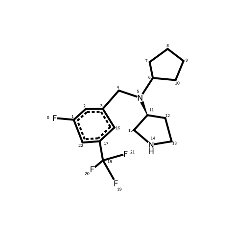 Fc1cc(CN(C2CCCC2)[C@H]2CCNC2)cc(C(F)(F)F)c1